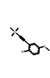 COc1ccc(Br)c(C#C[Si](C)(C)C)c1